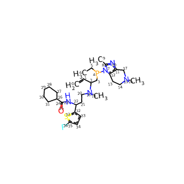 C=CC(CP(CC)n1c(C)nc2c1CCN(C)C2)N(C)CCC(NC(=O)C1CCCCC1)c1ccc(F)s1